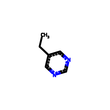 CCc1cncnc1